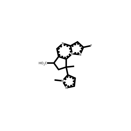 Cn1nccc1C1(C)CC(C(=O)O)c2cnc3cc(F)nn3c21